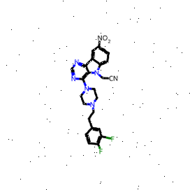 N#CCn1c2ccc([N+](=O)[O-])cc2c2ncnc(N3CCN(CCc4ccc(F)c(F)c4)CC3)c21